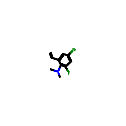 C=Cc1cc(Br)cc(F)c1N(C)C